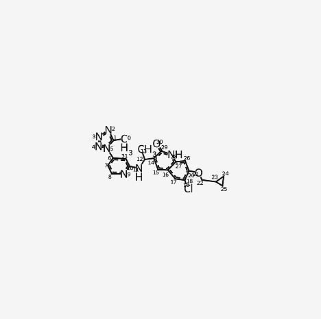 Cc1nnnn1-c1ccnc(NC(C)c2cc3cc(Cl)c(OCC4CC4)cc3[nH]c2=O)c1